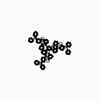 c1ccc(N(c2ccccc2)c2ccc3c(c2)Oc2cccc4c2B3c2ccccc2N4c2cc3c(c4cccc5c4n3-c3cccc4c3B5c3ccc(N(c5ccccc5)c5ccccc5)cc3O4)c3c2c2cccc4c2n3-c2cccc3c2B4c2ccc(N(c4ccccc4)c4ccccc4)cc2O3)cc1